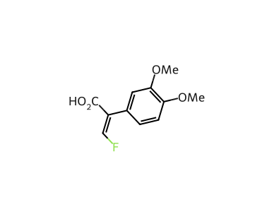 COc1ccc(/C(=C\F)C(=O)O)cc1OC